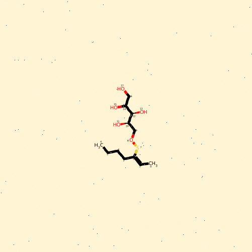 C/C=C(/CCCC)SOC[C@@H](O)[C@H](O)C(O)CO